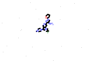 CN1CCN(c2cn(CC(C)(C)F)c3cc(-c4nn(C5CCCCO5)cc4N)ncc23)CC1